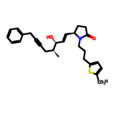 C[C@H](CC#CCc1ccccc1)[C@H](O)/C=C/[C@H]1CCC(=O)N1CCCc1ccc(C(=O)O)s1